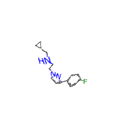 Fc1ccc(-c2ccn(CCNCC3CC3)n2)cc1